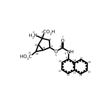 NC1(C(=O)O)CC(OC(=O)Nc2cccc3ccccc23)C2C(C(=O)O)C21